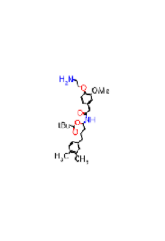 COc1cc(CC(=O)NC(CCCc2ccc(C)c(C)c2)OC(=O)C(C)(C)C)ccc1OCCN